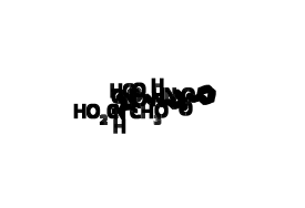 C[C@H]1C(NC(=O)O)C(=O)N1P(=O)(O)OCCNC(=O)c1cc(=O)c(OCc2ccccc2)c[nH]1